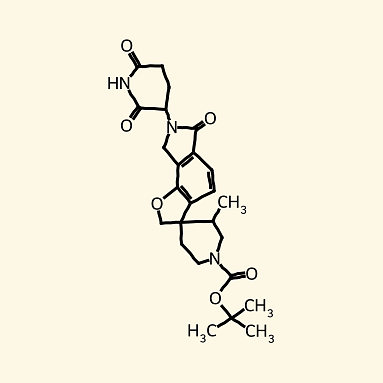 CC1CN(C(=O)OC(C)(C)C)CCC12COc1c2ccc2c1CN(C1CCC(=O)NC1=O)C2=O